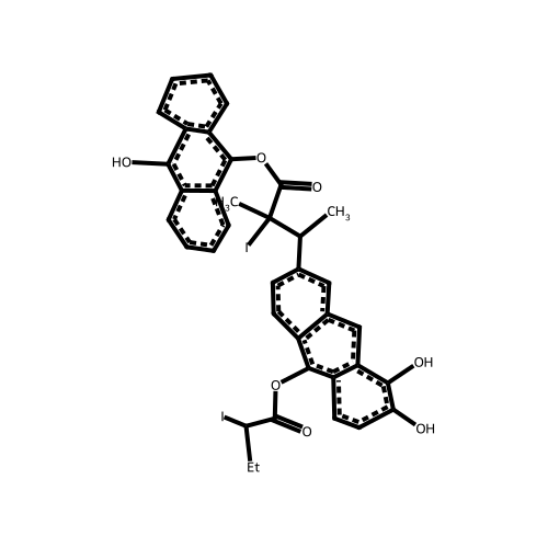 CCC(I)C(=O)Oc1c2ccc(C(C)C(C)(I)C(=O)Oc3c4ccccc4c(O)c4ccccc34)cc2cc2c(O)c(O)ccc12